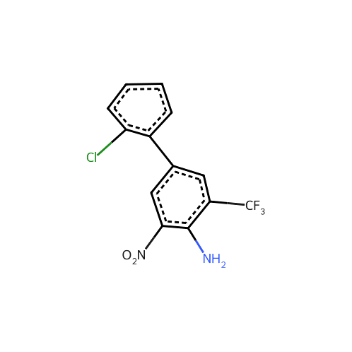 Nc1c([N+](=O)[O-])cc(-c2ccccc2Cl)cc1C(F)(F)F